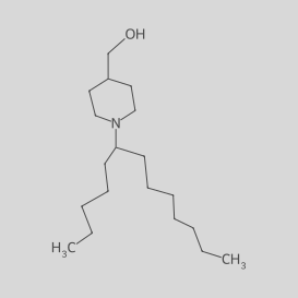 CCCCCCCC(CCCCC)N1CCC(CO)CC1